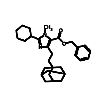 Cn1c(C2CCCCC2)nc(CCC23CC4CC(CC(C4)C2)C3)c1C(=O)OCc1ccccc1